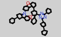 c1ccc(-c2ccc(-c3nc(-c4ccccc4)nc(-c4cc(-c5cccc6oc7ccc(-n8c9ccccc9c9cc(-c%10ccccc%10)ccc98)cc7c56)cc5oc6ccccc6c45)n3)cc2)cc1